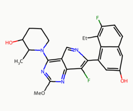 CCc1c(F)ccc2cc(O)cc(-c3ncc4c(N5CCCC(O)C5C)nc(OC)nc4c3F)c12